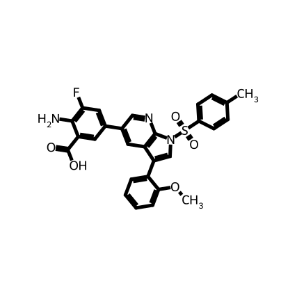 COc1ccccc1-c1cn(S(=O)(=O)c2ccc(C)cc2)c2ncc(-c3cc(F)c(N)c(C(=O)O)c3)cc12